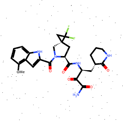 COc1cccc2[nH]c(C(=O)N3C[C@]4(C[C@H]3C(=O)N[C@@H](C[C@@H]3CCCNC3=O)C(=O)C(N)=O)CC4(F)F)cc12